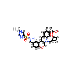 Cn1cnc(S(=O)(=O)NCc2ccc3c(c2)C(Cc2ccccc2)C(NCC2CCC2OC(=O)C(F)(F)F)CO3)c1